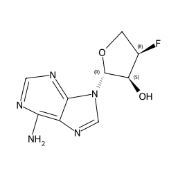 Nc1ncnc2c1ncn2[C@@H]1OC[C@@H](F)[C@H]1O